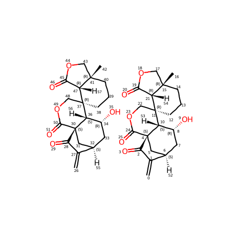 C=C1C(=O)[C@]23C[C@H]1C[C@@H](O)[C@H]2[C@@]1(CCC[C@@]2(C)COC(=O)[C@H]21)COC3=O.C=C1C(=O)[C@]23C[C@H]1C[C@@H](O)[C@H]2[C@@]1(CCC[C@@]2(C)COC(=O)[C@H]21)COC3=O